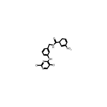 O=C(NCc1cccc(Nc2nc(Cl)ncc2Cl)c1)C1C=C([N+](=O)[O-])C=CC1